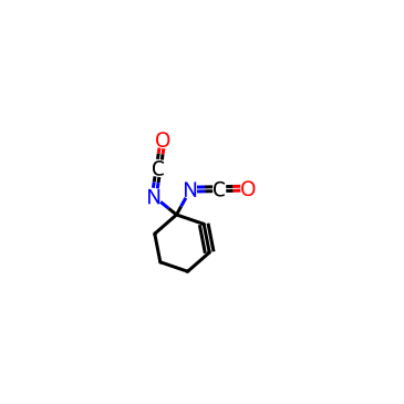 O=C=NC1(N=C=O)C#CCCC1